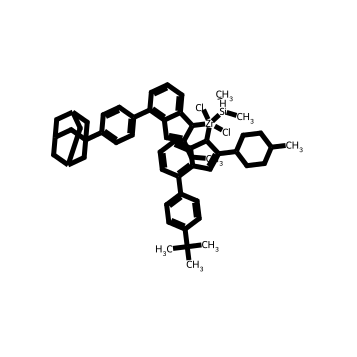 CCC1=Cc2c(-c3ccc(C45CC6CC(CC(C6)C4)C5)cc3)cccc2[CH]1[Zr]([Cl])([Cl])([CH]1C(C2CCC(C)CC2)=Cc2c(-c3ccc(C(C)(C)C)cc3)cccc21)[SiH](C)C